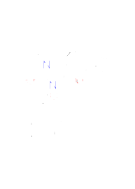 CN1C(=O)N(OCc2ccccc2)C(=O)[C@@H]1Cc1ccccc1